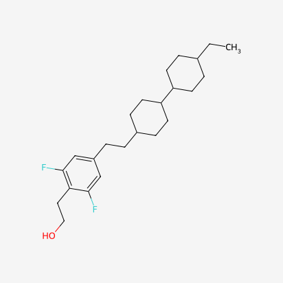 CCC1CCC(C2CCC(CCc3cc(F)c(CCO)c(F)c3)CC2)CC1